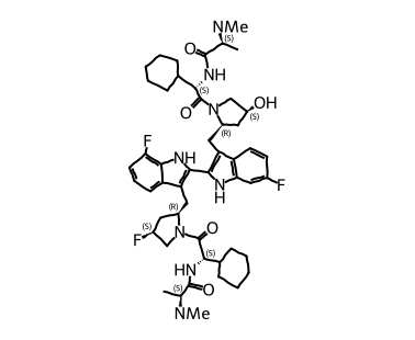 CN[C@@H](C)C(=O)N[C@H](C(=O)N1C[C@@H](O)C[C@H]1Cc1c(-c2[nH]c3c(F)cccc3c2C[C@@H]2C[C@H](F)CN2C(=O)[C@@H](NC(=O)[C@H](C)NC)C2CCCCC2)[nH]c2cc(F)ccc12)C1CCCCC1